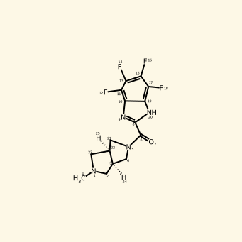 CN1C[C@@H]2CN(C(=O)c3nc4c(F)c(F)c(F)c(F)c4[nH]3)C[C@@H]2C1